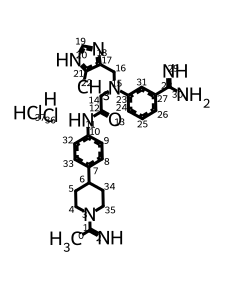 CC(=N)N1CCC(c2ccc(NC(=O)CN(Cc3nc[nH]c3C)c3cccc(C(=N)N)c3)cc2)CC1.Cl.Cl